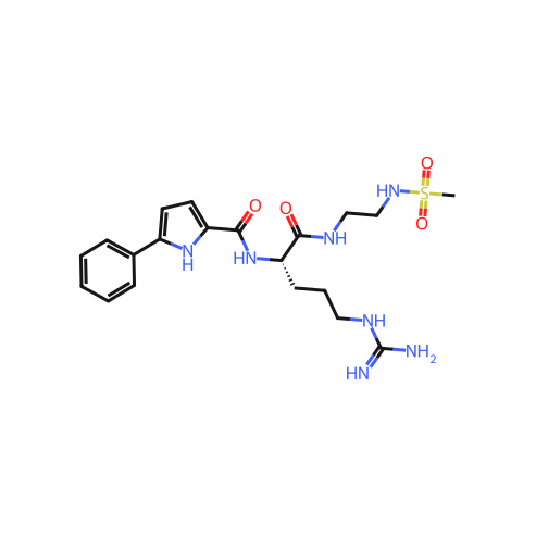 CS(=O)(=O)NCCNC(=O)[C@H](CCCNC(=N)N)NC(=O)c1ccc(-c2ccccc2)[nH]1